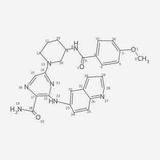 COc1ccc(C(=O)NC2CCCN(c3cnc(C(N)=O)c(Nc4ccc5ncccc5c4)n3)C2)cc1